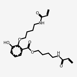 C=CC(=O)NCCCCOC(=O)c1cccc(O)c1OCCCCNC(=O)C=C